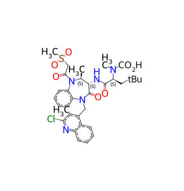 Cc1c(Cl)nc2ccccc2c1CN1C(=O)[C@@H](NC(=O)[C@H](CC(C)(C)C)N(C)C(=O)O)[C@H](C)N(C(=O)CS(C)(=O)=O)c2ccccc21